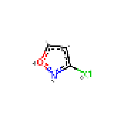 Clc1c[c]on1